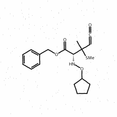 CSC(C)(C=C=O)[C@H](NOC1CCCC1)C(=O)OCc1ccccc1